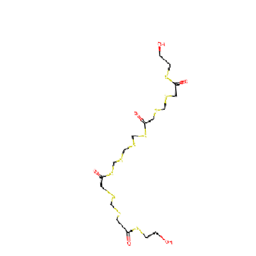 O=C(CSCSCC(=O)SCSCSCSC(=O)CSCSCC(=O)SCCO)SCCO